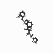 Cc1c(C(=O)NC[C@@H]2CCCO2)oc2c1-c1nn(Cc3ncccc3Cl)cc1CC2